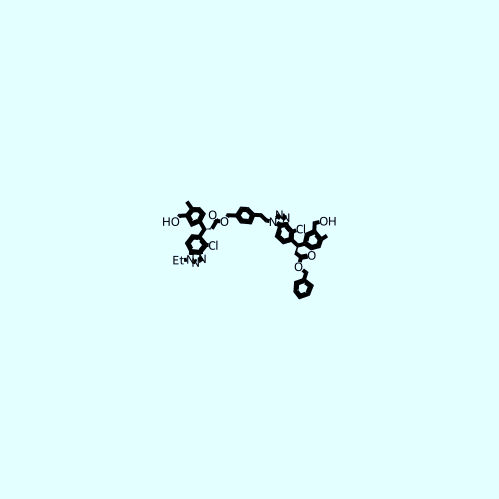 CCn1nnc2c(Cl)c([C@@H](CC(=O)OCc3ccc(CCn4nnc5c(Cl)c([C@H](CC(=O)OCc6ccccc6)c6ccc(C)c(CO)c6)ccc54)cc3)c3ccc(C)c(CO)c3)ccc21